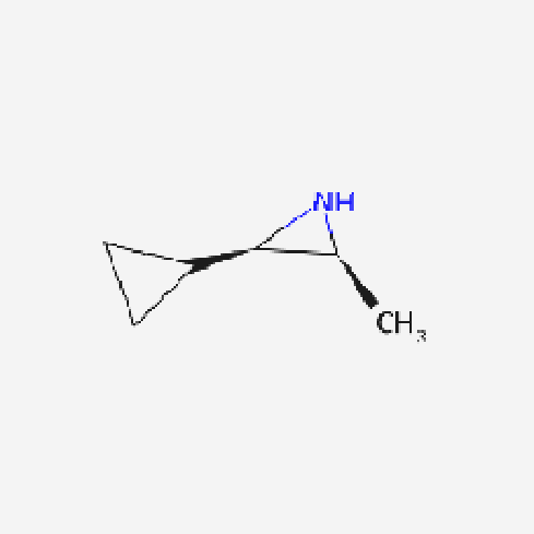 C[C@@H]1N[C@@H]1C1CC1